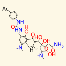 CC(=O)c1ccc(NC(=O)NCc2cc(N(C)C)c3c(c2O)C(=O)C2=C(O)[C@](O)(C(=O)CC(N)=O)[C@H]([C@@H](CO)N(C)C)C[C@@H]2C3)cc1